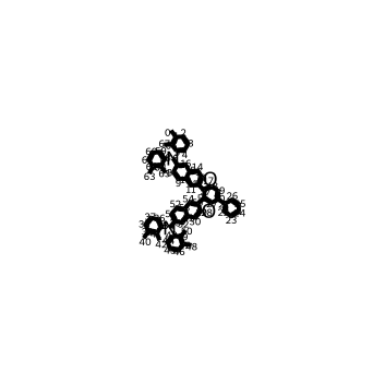 Cc1cccc(N(c2ccc3cc4c(cc3c2)oc2cc(-c3ccccc3)c3oc5cc6cc(N(c7cccc(C)c7C)c7cccc(C)c7C)ccc6cc5c3c24)c2cccc(C)c2C)c1C